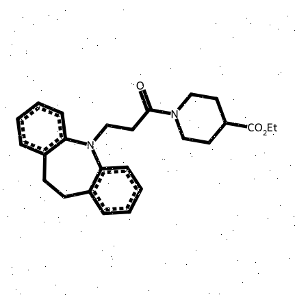 CCOC(=O)C1CCN(C(=O)CCN2c3ccccc3CCc3ccccc32)CC1